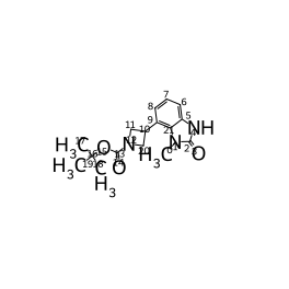 Cn1c(=O)[nH]c2cccc(C3CN(C(=O)OC(C)(C)C)C3)c21